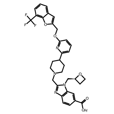 O=C(O)c1ccc2nc(CN3CCC(c4cccc(OCc5cc6cccc(C(F)(F)F)c6o5)n4)CC3)n(C[C@@H]3CCO3)c2c1